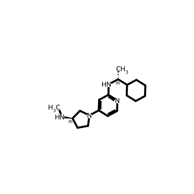 CN[C@@H]1CCN(c2ccnc(N[C@H](C)C3CCCCC3)c2)C1